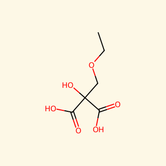 CCOCC(O)(C(=O)O)C(=O)O